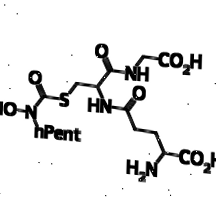 CCCCCN(O)C(=O)SCC(NC(=O)CCC(N)C(=O)O)C(=O)NCC(=O)O